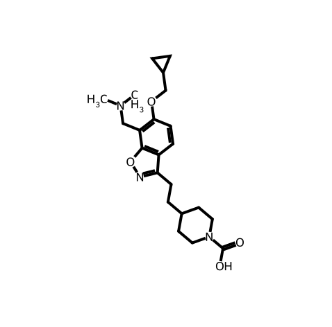 CN(C)Cc1c(OCC2CC2)ccc2c(CCC3CCN(C(=O)O)CC3)noc12